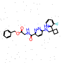 O=C(CNC(=O)c1ccc(NCC2(c3ncccc3F)CCC2)nn1)OCc1ccccc1